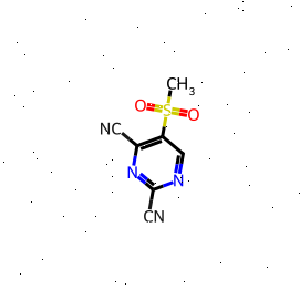 CS(=O)(=O)c1cnc(C#N)nc1C#N